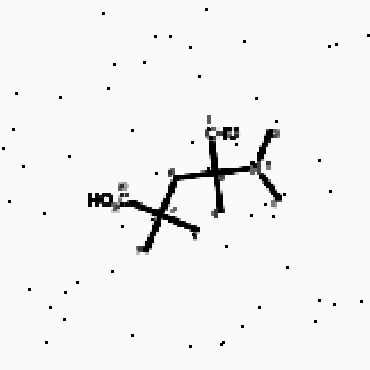 CN(C)C(C)(C=O)CC(C)(C)C(=O)O